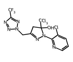 OC1(C(Cl)(Cl)Cl)CC(Cn2nnc(C(F)(F)F)n2)=NN1c1ncccc1Cl